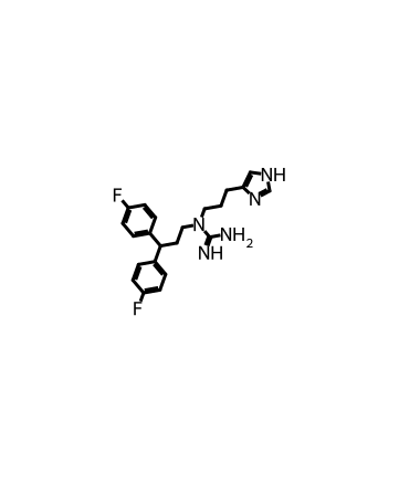 N=C(N)N(CCCc1c[nH]cn1)CCC(c1ccc(F)cc1)c1ccc(F)cc1